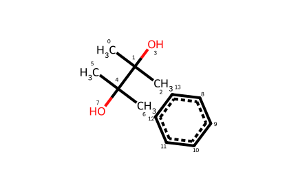 CC(C)(O)C(C)(C)O.c1ccccc1